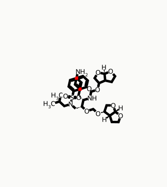 CC(C)CN(C[C@@H](OCO[C@@H]1CO[C@@H]2OCC[C@@H]21)[C@H](Cc1ccccc1)NC(=O)OC1CO[C@H]2OCCC12)S(=O)(=O)c1ccc(N)cc1